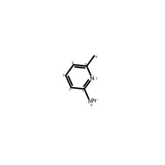 CC[CH]c1cccc(C)n1